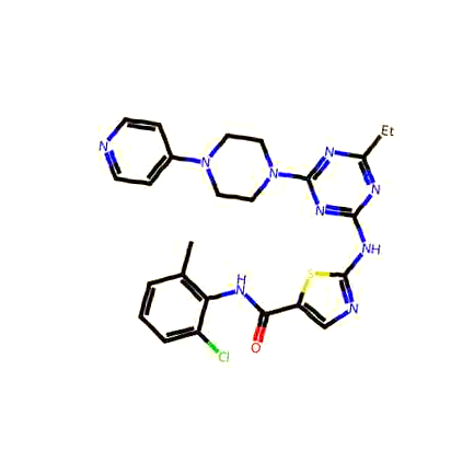 CCc1nc(Nc2ncc(C(=O)Nc3c(C)cccc3Cl)s2)nc(N2CCN(c3ccncc3)CC2)n1